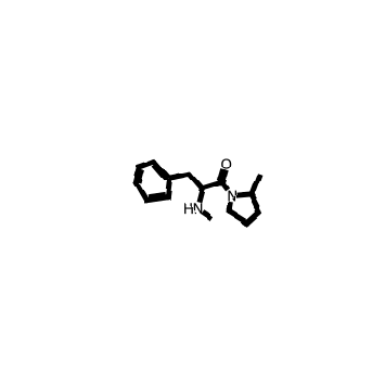 CNC(Cc1ccccc1)C(=O)N1CCCC1C